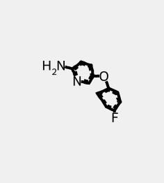 Nc1ccc(Oc2ccc(F)cc2)cn1